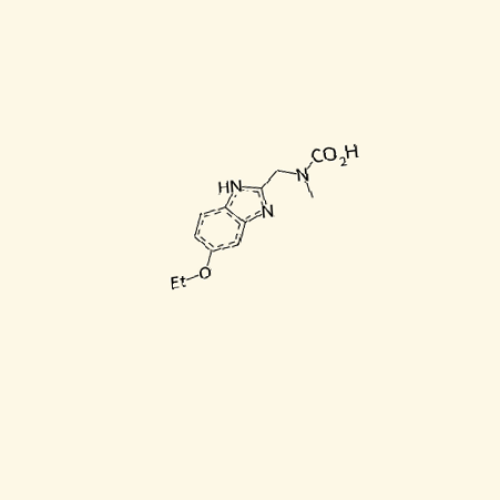 CCOc1ccc2[nH]c(CN(C)C(=O)O)nc2c1